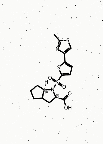 Cc1nc(-c2ccc(S(=O)(=O)N3[C@@H](C(=O)O)CC4CCC[C@H]43)s2)cs1